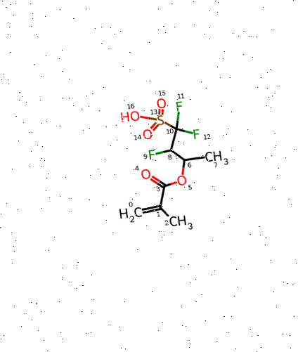 C=C(C)C(=O)OC(C)C(F)C(F)(F)S(=O)(=O)O